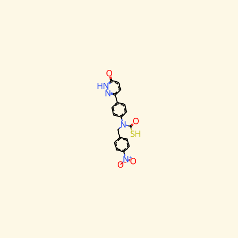 O=C(S)N(Cc1ccc([N+](=O)[O-])cc1)c1ccc(-c2ccc(=O)[nH]n2)cc1